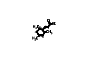 CCC(=O)/C=C/C1C(C)C=C(C)CC1C